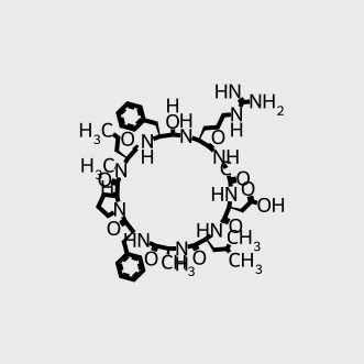 CCC[C@H]1C(=O)N[C@@H](Cc2ccccc2)C(O)N[C@@H](CCCNC(=N)N)C(=O)NCC(=O)N[C@@H](CC(=O)O)C(=O)N[C@@H](CC(C)C)C(=O)N[C@@H](C)C(=O)N[C@@H](Cc2ccccc2)C(=O)N2CCC[C@@H]2C(=O)N1C